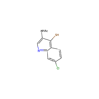 CC(=O)Nc1cnc2cc(Cl)ccc2c1S